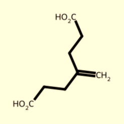 C=C(CCC(=O)O)CCC(=O)O